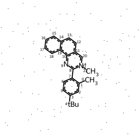 Cc1cc(C(C)(C)C)ccc1-c1nc2c(ccc3ccccc32)c[n+]1C